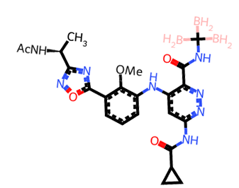 BC(B)(B)NC(=O)c1nnc(NC(=O)C2CC2)cc1Nc1cccc(-c2nc([C@H](C)NC(C)=O)no2)c1OC